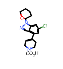 O=C(O)N1CC=C(c2cc(Cl)cc3c2cnn3C2CCCCO2)CC1